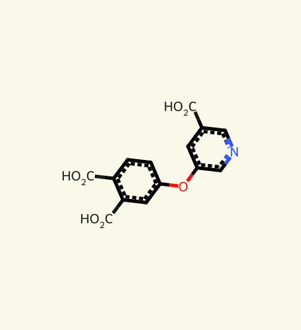 O=C(O)c1cncc(Oc2ccc(C(=O)O)c(C(=O)O)c2)c1